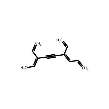 C=C/C=C(/C#C/C(C=C)=C/C)C=C